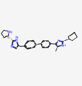 Cc1[nH]c(C2CCCC2)nc1-c1ccc(-c2ccc(-c3cnc([C@@H]4CCCN4)[nH]3)cc2)cc1